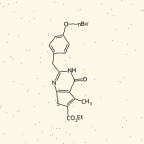 CCCCOc1ccc(Cc2nc3sc(C(=O)OCC)c(C)c3c(=O)[nH]2)cc1